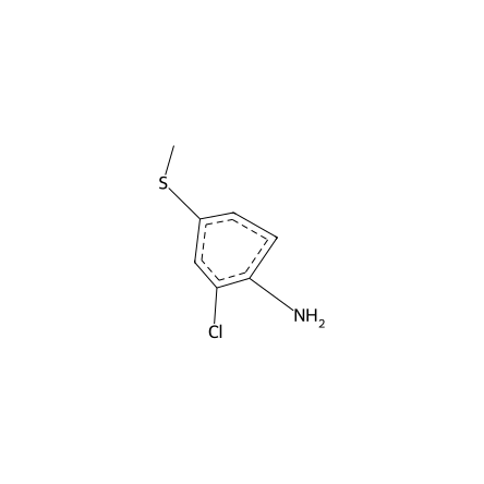 CSc1ccc(N)c(Cl)c1